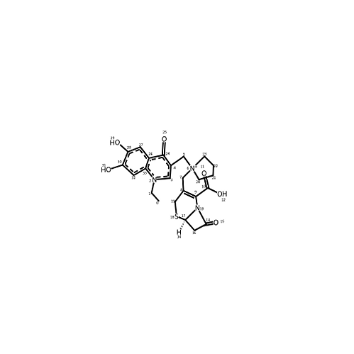 CCn1cc(C[N+]2(CC3=C(C(=O)O)N4C(=O)C[C@H]4SC3)CCCC2)c(=O)c2cc(O)c(O)cc21